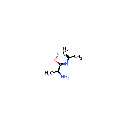 C=C(C)/N=C(\ON)C(C)N